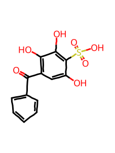 O=C(c1ccccc1)c1cc(O)c(S(=O)(=O)O)c(O)c1O